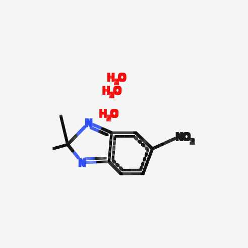 CC1(C)N=c2ccc([N+](=O)[O-])cc2=N1.O.O.O